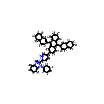 c1ccc(-n2c(-c3ccc(-c4ccc5c(-c6ccc7ccccc7c6)c6ccccc6c(-c6ccc7ccccc7c6)c5c4)cn3)nc3ccccc32)cc1